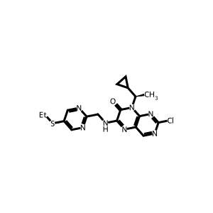 CCSc1cnc(CNc2nc3cnc(Cl)nc3n([C@H](C)C3CC3)c2=O)nc1